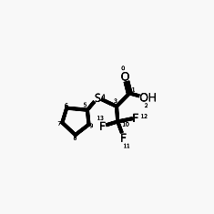 O=C(O)C(SC1CCCC1)C(F)(F)F